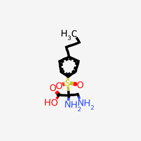 CCCc1ccc(S(=O)(=O)C(N)(CN)C(=O)O)cc1